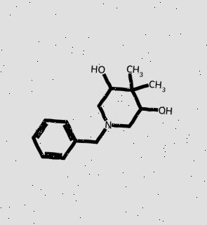 CC1(C)C(O)CN(Cc2ccccc2)CC1O